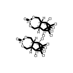 O=[S@@]1OC[C@@H]2[C@H](CO1)[C@@]1(Cl)C(Cl)=C(Cl)[C@]2(Cl)C1(Cl)Cl.O=[S@]1OC[C@@H]2[C@H](CO1)[C@@]1(Cl)C(Cl)=C(Cl)[C@]2(Cl)C1(Cl)Cl